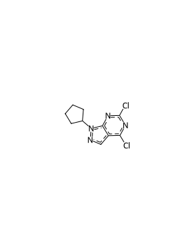 Clc1nc(Cl)c2cnn(C3CCCC3)c2n1